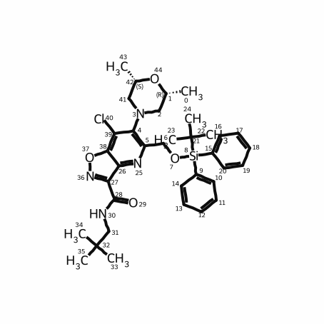 C[C@@H]1CN(c2c(CO[Si](c3ccccc3)(c3ccccc3)C(C)(C)C)nc3c(C(=O)NCC(C)(C)C)noc3c2Cl)C[C@H](C)O1